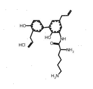 C=CCc1cc(NC(=O)C(N)CCCCN)c(O)c(-c2ccc(O)c(CC=C)c2)c1.Cl